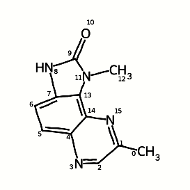 Cc1cnc2ccc3[nH]c(=O)n(C)c3c2n1